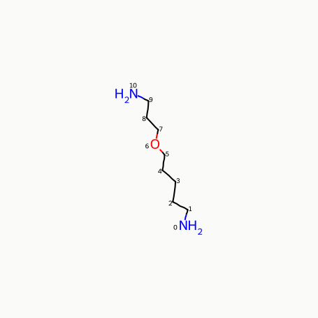 NCCCCCOCCCN